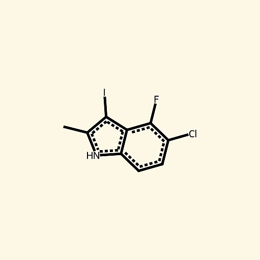 Cc1[nH]c2ccc(Cl)c(F)c2c1I